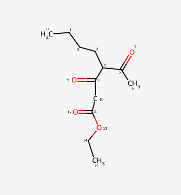 CCCCC(C(C)=O)C(=O)CC(=O)OCC